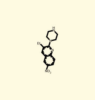 CCc1cc2cc([N+](=O)[O-])ccc2nc1N1CCNCC1